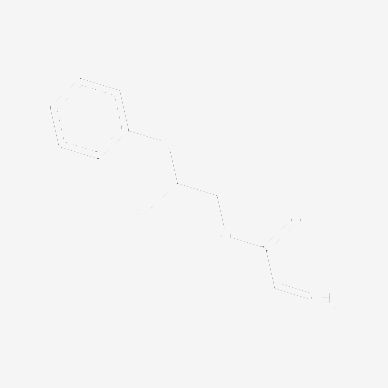 C=CC(=O)OCC(Cl)Oc1ccccc1